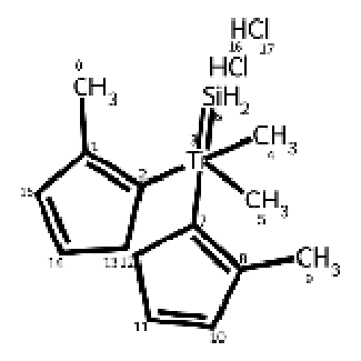 CC1=[C]([Ti]([CH3])([CH3])(=[SiH2])[C]2=C(C)C=CC2)CC=C1.Cl.Cl